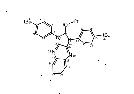 CCOC1N(c2ccc(C(C)(C)C)cc2)c2nc3ccccc3nc2N1c1ccc(C(C)(C)C)cc1